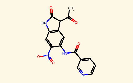 CC(=O)C1C(=O)Nc2cc([N+](=O)[O-])c(NC(=O)c3cccnc3)cc21